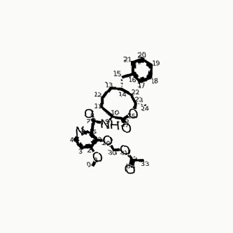 COc1ccnc(C(=O)N[C@H]2CCC[C@H](Cc3ccccc3)C[C@H](C)OC2=O)c1OCOC(C)=O